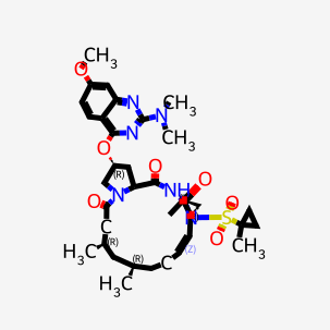 COc1ccc2c(O[C@@H]3CC4C(=O)N[C@]56C[C@]5(/C=C\CC[C@@H](C)C[C@@H](C)CC(=O)N4C3)N(S(=O)(=O)C3(C)CC3)C6=O)nc(N(C)C)nc2c1